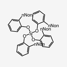 CCCCCCCCCc1ccccc1O[Si](Oc1ccccc1CCCCCCCCC)(Oc1ccccc1CCCCCCCCC)Oc1ccccc1CCCCCCCCC